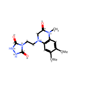 COc1cc2c(cc1OC)N(C)C(=O)CN2CCn1c(=O)[nH][nH]c1=O